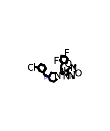 Cn1c(=O)c2c(nc(N3CCC/C(=C/c4cccc(Cl)c4)CC3)n2Cc2ccc(F)cc2F)n(C)c1=O